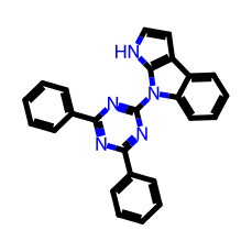 c1ccc(-c2nc(-c3ccccc3)nc(-n3c4ccccc4c4cc[nH]c43)n2)cc1